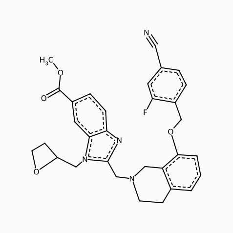 COC(=O)c1ccc2nc(CN3CCc4cccc(OCc5ccc(C#N)cc5F)c4C3)n(CC3CCO3)c2c1